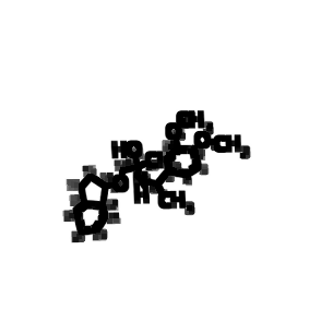 COc1ccc(C(C)NC(C)(O)COC2CCc3ccccc32)cc1OC